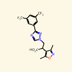 Cc1noc(C)c1C(Cn1cnc(-c2cc(C(F)(F)F)cc(C(F)(F)F)c2)n1)C(=O)O